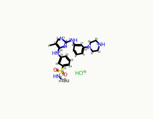 Cc1cnc(Nc2cccc(N3CCNCC3)c2)nc1Nc1cccc(S(=O)(=O)NC(C)(C)C)c1.Cl